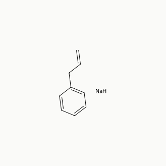 C=CCc1ccccc1.[NaH]